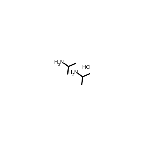 CC(C)N.CC(C)N.Cl